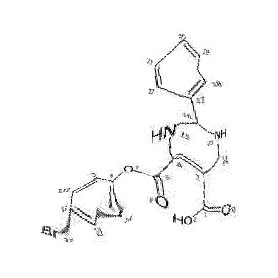 O=C(O)C1=C(C(=O)Oc2ccc(Br)cc2)NC(c2ccccc2)NC1